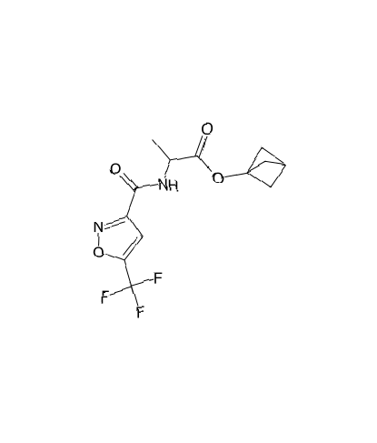 CC(NC(=O)c1cc(C(F)(F)F)on1)C(=O)OC12CC(C1)C2